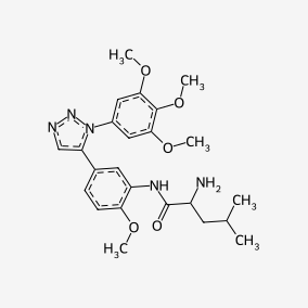 COc1ccc(-c2cnnn2-c2cc(OC)c(OC)c(OC)c2)cc1NC(=O)C(N)CC(C)C